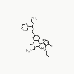 CCc1cc(CCC(CCN)N2CCOCC2)ccc1N(c1[nH]cc(Cl)c1CCSC)C(N)/N=C/N